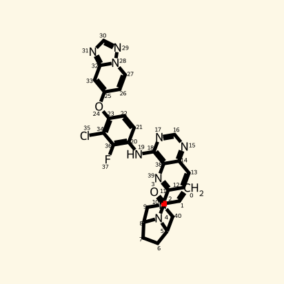 C=CC(=O)N1C2CCC1CN(c1ccc3ncnc(Nc4ccc(Oc5ccn6ncnc6c5)c(Cl)c4F)c3n1)C2